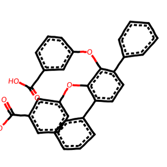 O=C(O)c1cccc(Oc2c(-c3ccccc3)ccc(-c3ccccc3)c2Oc2cccc(C(=O)O)c2)c1